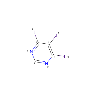 Ic1ncnc(I)c1I